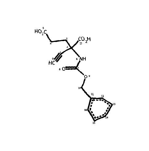 C#CC([CH][CH]C(=O)O)(NC(=O)OCc1ccccc1)C(=O)O